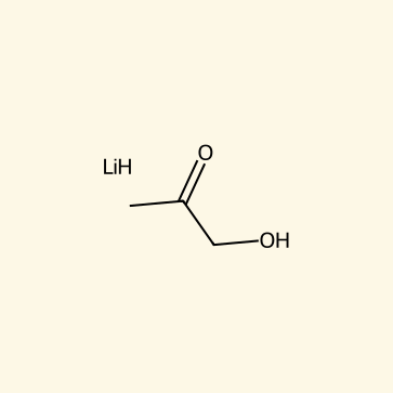 CC(=O)CO.[LiH]